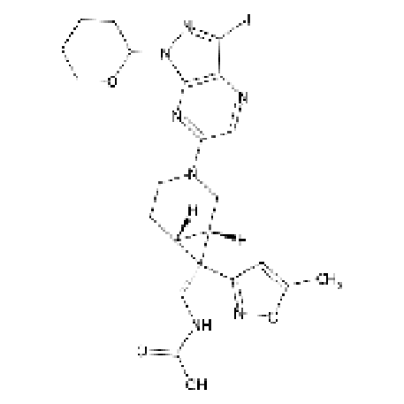 Cc1cc([C@@]2(CNC(=O)O)[C@@H]3CCN(c4cnc5c(I)nn(C6CCCCO6)c5n4)C[C@@H]32)no1